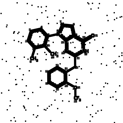 Cc1cccc(-n2ncc3c(=O)[nH]c(Cc4ccccc4OC(F)(F)F)nc32)c1C